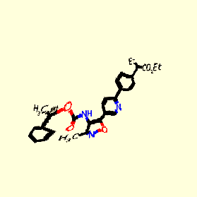 CCOC(=O)C(CC)c1ccc(-c2ccc(-c3onc(C)c3NC(=O)O[C@H](C)c3ccccc3)cn2)cc1